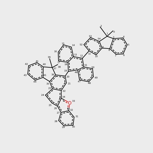 CC1(C)c2ccccc2-c2cc(-c3c4ccccc4c(-c4cc5c(ccc6c7ccccc7oc56)c5c4C(C)(C)c4ccccc4-5)c4ccccc34)ccc21